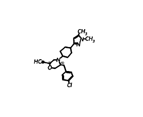 C#C[C@H]1CN(C2CCC(c3cc(C)n(C)n3)CC2)[C@@H](Cc2ccc(Cl)cc2)CO1